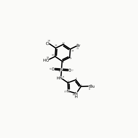 CC(C)(C)c1cc(NS(=O)(=O)c2cc(Br)cc(Cl)c2O)n[nH]1